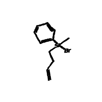 C=CCC[Si](C)(Br)c1ccccc1